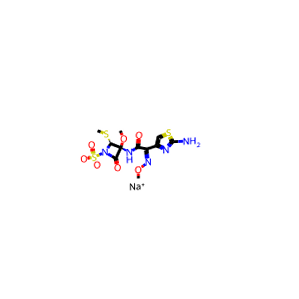 CON=C(C(=O)N[C@@]1(OC)C(=O)N(S(=O)(=O)[O-])[C@@H]1SC)c1csc(N)n1.[Na+]